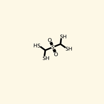 O=S(=O)(C(S)S)C(S)S